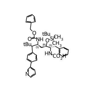 CC(C)(C)C(c1ccc(-c2cccnc2)cc1)[C@H](C[C@@H](O[Si](C)(C)C(C)(C)C)[C@H](Cc1ccccc1)NC(=O)O)NC(=O)OCc1ccccc1